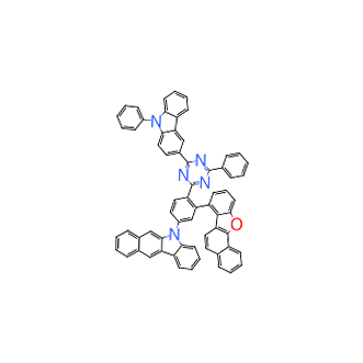 c1ccc(-c2nc(-c3ccc4c(c3)c3ccccc3n4-c3ccccc3)nc(-c3ccc(-n4c5ccccc5c5cc6ccccc6cc54)cc3-c3cccc4oc5c6ccccc6ccc5c34)n2)cc1